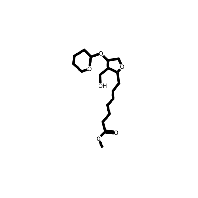 COC(=O)CCCCCCC1OCC(OC2CCCCO2)C1CO